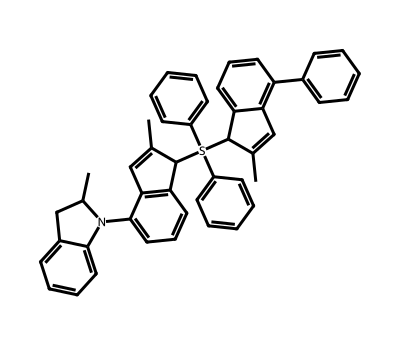 CC1=Cc2c(-c3ccccc3)cccc2C1S(c1ccccc1)(c1ccccc1)C1C(C)=Cc2c1cccc2N1c2ccccc2CC1C